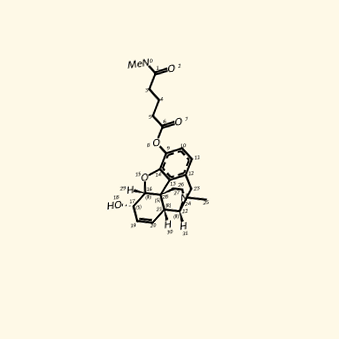 CNC(=O)CCCC(=O)Oc1ccc2c3c1O[C@H]1[C@@H](O)C=C[C@H]4[C@@H](C2)N(C)CC[C@@]341